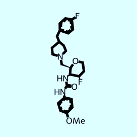 COc1ccc(NC(=O)N[C@@H]2[C@@H](F)CCO[C@@H]2CN2CCC(Cc3ccc(F)cc3)CC2)cc1